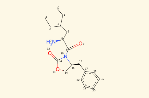 CCC(CC)C[C@H](N)C(=O)N1C(=O)OC[C@@H]1Cc1ccccc1